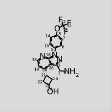 NCc1nn(-c2ccc(OC(F)(F)F)cc2)c2nccc([C@H]3C[C@H](O)C3)c12